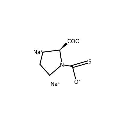 O=C([O-])[C@@H]1CCCN1C([O-])=S.[Na+].[Na+]